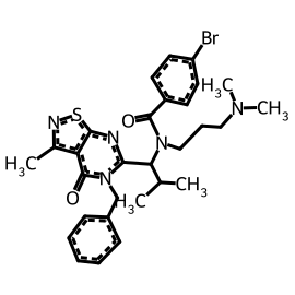 Cc1nsc2nc(C(C(C)C)N(CCCN(C)C)C(=O)c3ccc(Br)cc3)n(Cc3ccccc3)c(=O)c12